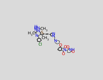 CC(=N)N1C(=N)[C@H](C)N=C(c2ccc(Cl)cc2)c2c1sc(C#Cc1cnn(CCN3CCC(Oc4cccc5c4C(=O)N(C4CCC(=O)NC4=O)C5=O)CC3)c1)c2C